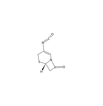 O=C=NC1=CN2C(=O)C[C@@H]2SC1